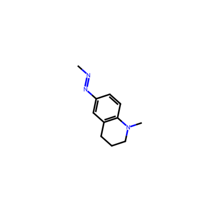 CN=Nc1ccc2c(c1)CCCN2C